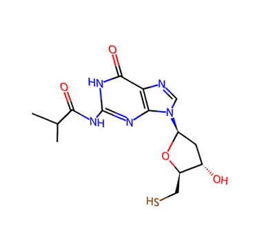 CC(C)C(=O)Nc1nc2c(ncn2[C@H]2C[C@H](O)[C@@H](CS)O2)c(=O)[nH]1